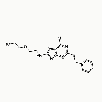 OCCOCCNc1nc2nc(SCc3ccccc3)nc(Cl)c2s1